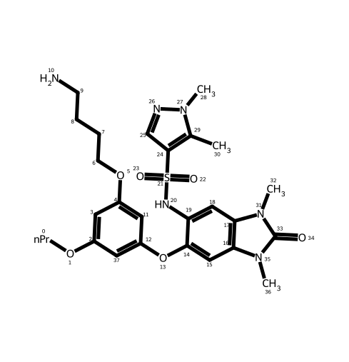 CCCOc1cc(OCCCCN)cc(Oc2cc3c(cc2NS(=O)(=O)c2cnn(C)c2C)n(C)c(=O)n3C)c1